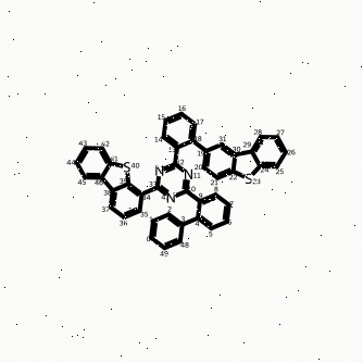 c1ccc(-c2ccccc2-c2nc(-c3ccccc3-c3ccc4sc5ccccc5c4c3)nc(-c3cccc4c3sc3ccccc34)n2)cc1